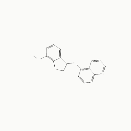 COc1cccc2c1OCC2Oc1cccc2ncncc12